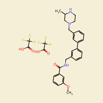 COc1cccc(C(=O)NCc2cccc(-c3cccc(CN4CCNC(C)C4)c3)c2)c1.O=C(O)C(F)(F)F.O=C(O)C(F)(F)F